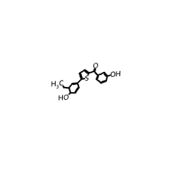 CCC1C=C(c2ccc(C(=O)c3cccc(O)c3)s2)C=CC1O